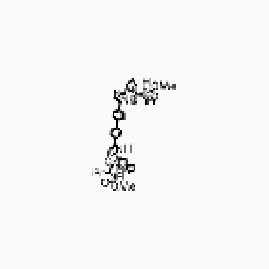 COC(=O)NC(C(=O)N1OC2(CCC2)C[C@@H]1c1ncc(-c2ccc(-c3ccc(-c4cnc([C@@H]5CCCN5C(=O)[C@@H](NC(=O)OC)C(C)C)[nH]4)cc3)cc2)[nH]1)C(C)C